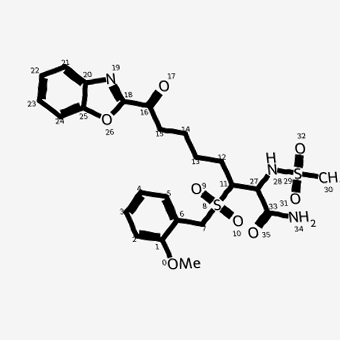 COc1ccccc1CS(=O)(=O)C(CCCCC(=O)c1nc2ccccc2o1)C(NS(C)(=O)=O)C(N)=O